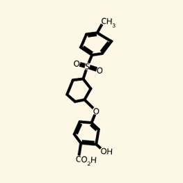 Cc1ccc(S(=O)(=O)C2CCCC(Oc3ccc(C(=O)O)c(O)c3)C2)cc1